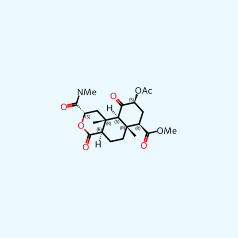 CNC(=O)[C@@H]1C[C@]2(C)[C@H]3C(=O)[C@@H](OC(C)=O)C[C@@H](C(=O)OC)[C@]3(C)CC[C@H]2C(=O)O1